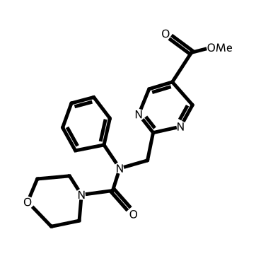 COC(=O)c1cnc(CN(C(=O)N2CCOCC2)c2ccccc2)nc1